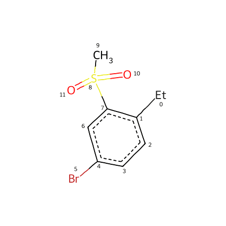 [CH2]Cc1ccc(Br)cc1S(C)(=O)=O